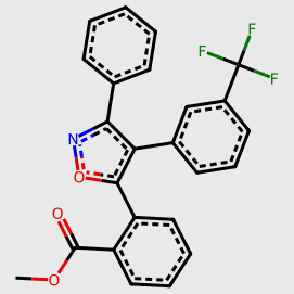 COC(=O)c1ccccc1-c1onc(-c2ccccc2)c1-c1cccc(C(F)(F)F)c1